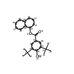 CC(C)(C)c1cc(C(=O)Oc2cccc3ccccc23)cc(C(C)(C)C)c1O